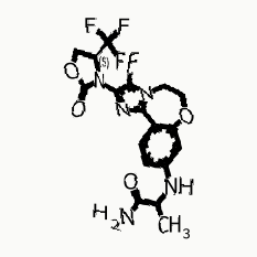 CC(Nc1ccc2c(c1)OCCn1c-2nc(N2C(=O)OC[C@H]2C(F)(F)F)c1F)C(N)=O